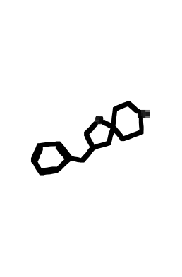 c1ccc(CC2COC3(CCNCC3)C2)cc1